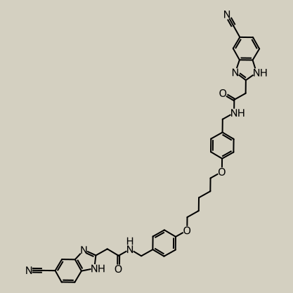 N#Cc1ccc2[nH]c(CC(=O)NCc3ccc(OCCCCCOc4ccc(CNC(=O)Cc5nc6cc(C#N)ccc6[nH]5)cc4)cc3)nc2c1